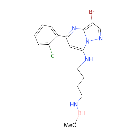 COBNCCCCNc1cc(-c2ccccc2Cl)nc2c(Br)cnn12